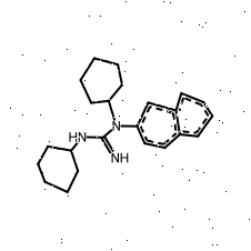 N=C(NC1CCCCC1)N(c1ccc2ccccc2c1)C1CCCCC1